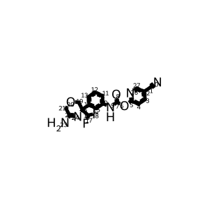 N#Cc1ccc(OC(=O)Nc2cccc(C3(C(F)F)COCC(N)=N3)c2)nc1